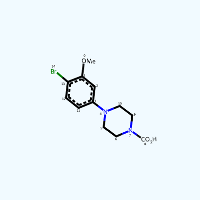 COc1cc(N2CCN(C(=O)O)CC2)ccc1Br